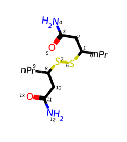 CCCC(CC(N)=O)SSC(CCC)CC(N)=O